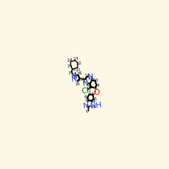 Cc1nc2ccc(Oc3ccc4ncc(-c5cnn(CC6CCCCC6)c5)nc4c3Cl)cc2[nH]1